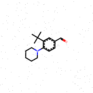 CC(C)(C)c1cc(C=O)ccc1N1CCCCC1